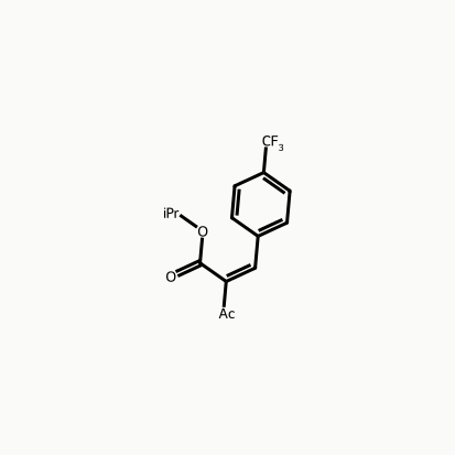 CC(=O)C(=Cc1ccc(C(F)(F)F)cc1)C(=O)OC(C)C